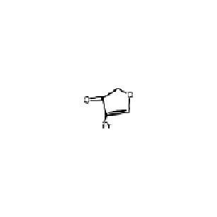 CC(C)C1=COCC1=O